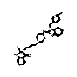 O=c1[nH]c2ccccc2c(=O)n1CCCCN1CCC(Nc2nc3ccccc3n2Cc2ccc(F)cc2)CC1